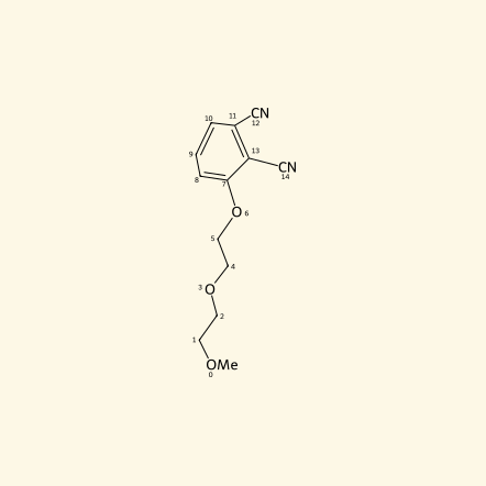 COCCOCCOc1cccc(C#N)c1C#N